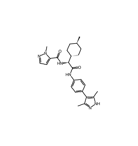 Cc1n[nH]c(C)c1-c1ccc(NC(=O)[C@@H](NC(=O)c2ccnn2C)[C@H]2CC[C@H](C)CC2)cc1